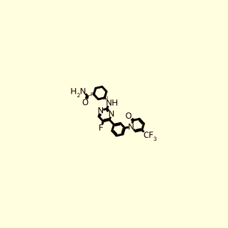 NC(=O)[C@@H]1CCC[C@H](Nc2ncc(F)c(-c3cccc(-n4cc(C(F)(F)F)ccc4=O)c3)n2)C1